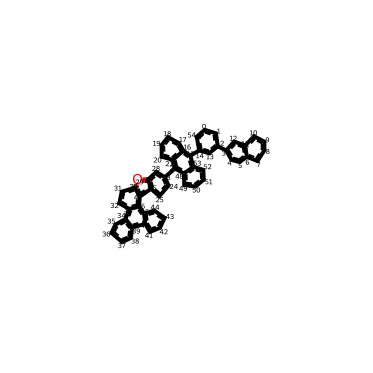 c1cc(-c2ccc3ccccc3c2)cc(-c2c3ccccc3c(-c3ccc4c(c3)oc3ccc5c6ccccc6c6ccccc6c5c34)c3ccccc23)c1